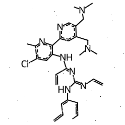 C=C/C=C(\C=C/C)NC(=N/C=C)/N=C(\C=C)Nc1cc(Cl)c(C)nc1-c1cc(CN(C)C)c(CN(C)C)cn1